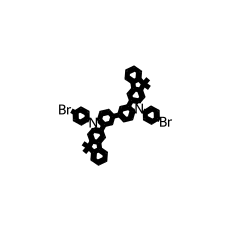 CC1(C)c2ccccc2-c2cc3c4c(n(-c5ccc(Br)cc5)c3cc21)C=CC(c1ccc2c(c1)c1cc3c(cc1n2-c1ccc(Br)cc1)C(C)(C)c1ccccc1-3)C4